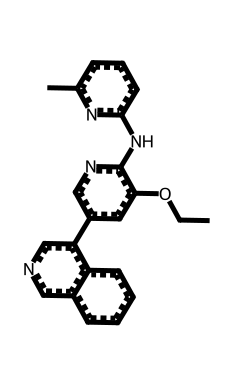 CCOc1cc(-c2cncc3ccccc23)cnc1Nc1cccc(C)n1